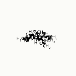 C=CC(=O)Nc1cc(Nc2ncc(Cl)c(-c3cnn(C)c3)n2)c(OC(C)C)nc1N(C)CCN(C)C